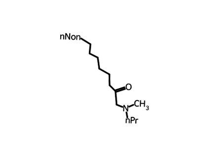 CCCCCCCCCCCCCCCC(=O)CN(C)CCC